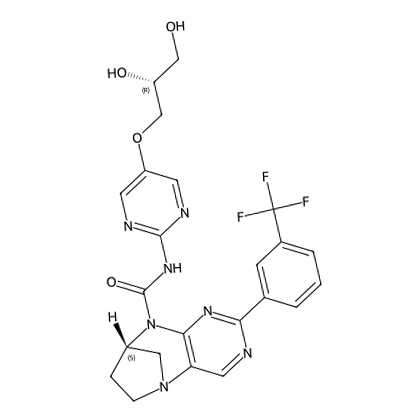 O=C(Nc1ncc(OC[C@H](O)CO)cn1)N1c2nc(-c3cccc(C(F)(F)F)c3)ncc2N2CC[C@H]1C2